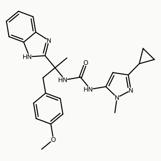 COc1ccc(CC(C)(NC(=O)Nc2cc(C3CC3)nn2C)c2nc3ccccc3[nH]2)cc1